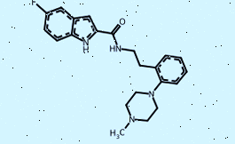 CN1CCN(c2ccccc2CCNC(=O)c2cc3cc(F)ccc3[nH]2)CC1